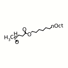 CCCCCCCCCCCCCCOC(=O)CC[PH](C)=O